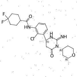 C[C@@H]1C[C@H](N2C(=N)N[C@](C)(c3cccc(NC(=O)C4CCC(F)(F)CC4)c3Cl)CC2=O)CCO1